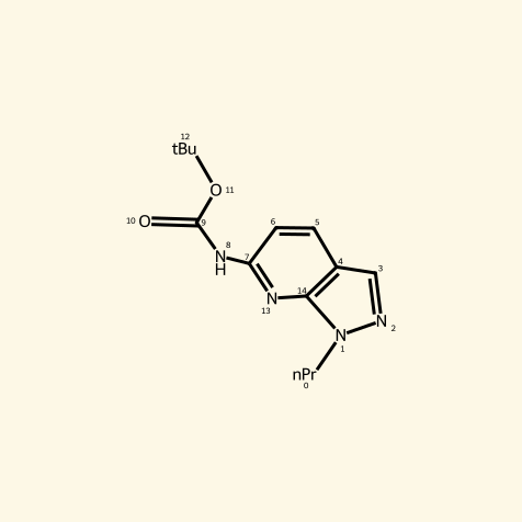 CCCn1ncc2ccc(NC(=O)OC(C)(C)C)nc21